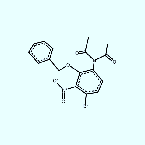 CC(=O)N(C(C)=O)c1ccc(Br)c([N+](=O)[O-])c1OCc1ccccc1